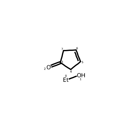 CCO.O=C1CC=CC1